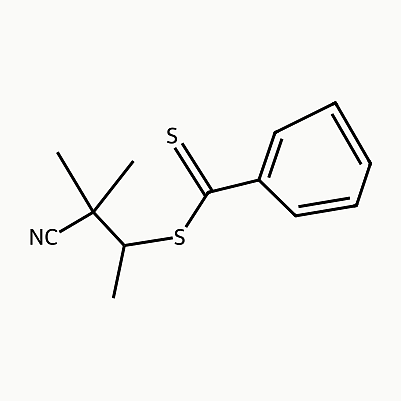 CC(SC(=S)c1ccccc1)C(C)(C)C#N